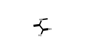 C=C(NC)C(=N)S